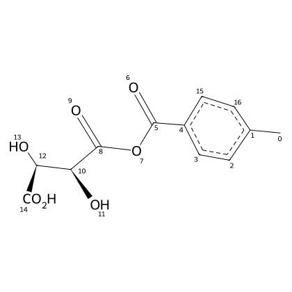 Cc1ccc(C(=O)OC(=O)[C@@H](O)[C@H](O)C(=O)O)cc1